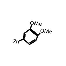 COc1cc[c]([Zn])cc1OC